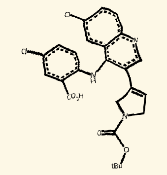 CC(C)(C)OC(=O)N1CC=C(c2cnc3ccc(Cl)cc3c2Nc2ccc(Cl)cc2C(=O)O)C1